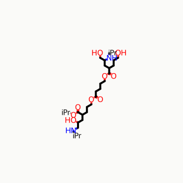 CC(C)NCC(O)CC(CCCOC(=O)CCCCOC(=O)C(CCCO)CC(CO)NC(C)C)C(=O)OC(C)C